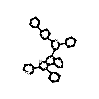 c1ccc(-c2ccc(-c3cc(-c4cc5nc(-c6ccccc6)cc(-c6ccccc6)c5c5ccccc45)cc(-c4ccccc4)n3)cc2)cc1